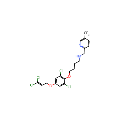 FC(F)(F)c1ccc(CNCCCCOc2c(Cl)cc(OCC=C(Cl)Cl)cc2Cl)nc1